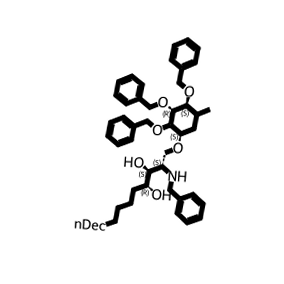 CCCCCCCCCCCCCC[C@@H](O)[C@@H](O)[C@H](CO[C@H]1CC(C)[C@H](OCc2ccccc2)[C@@H](OCc2ccccc2)C1OCc1ccccc1)NCc1ccccc1